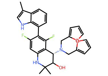 Cc1c[nH]c2c(-c3c(F)cc4c(c3F)[C@H](N(Cc3ccco3)Cc3ccco3)C(O)C(C)(C)N4)cccc12